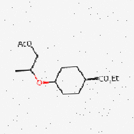 CCOC(=O)[C@H]1CC[C@@H](OC(C)COC(C)=O)CC1